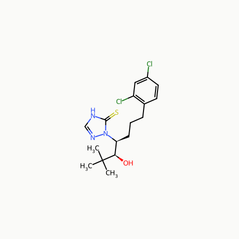 CC(C)(C)[C@H](O)[C@H](CCCc1ccc(Cl)cc1Cl)n1nc[nH]c1=S